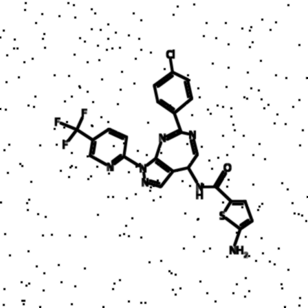 Nc1ccc(C(=O)NC2C=NC(c3ccc(Cl)cc3)=Nc3c2cnn3-c2ccc(C(F)(F)F)cn2)s1